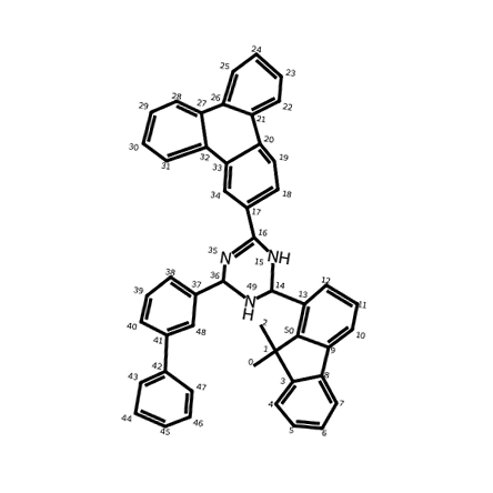 CC1(C)c2ccccc2-c2cccc(C3NC(c4ccc5c6ccccc6c6ccccc6c5c4)=NC(c4cccc(-c5ccccc5)c4)N3)c21